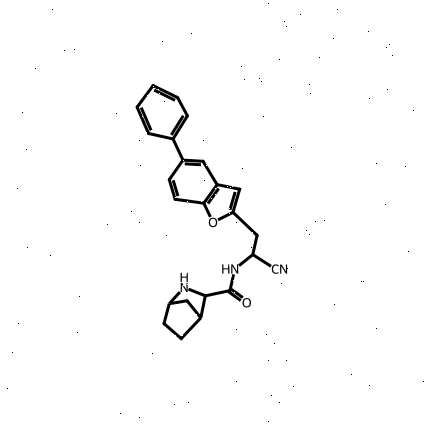 N#CC(Cc1cc2cc(-c3ccccc3)ccc2o1)NC(=O)C1NC2CCC1C2